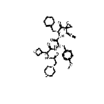 C=C=C[C@]1(C(=O)[C@H](CC2=CCCCC2)NC(=O)[C@H](Cc2ccc(OC)cc2)NC(=O)[C@@H](NC(=O)CN2CCOCC2)C2COC2)CO1